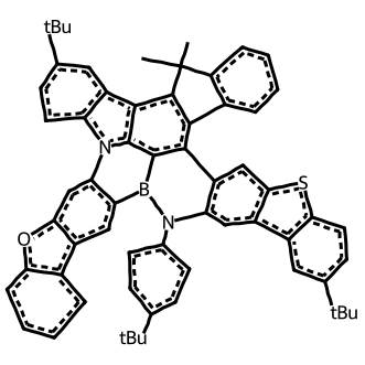 CC(C)(C)c1ccc(N2B3c4cc5c(cc4-n4c6ccc(C(C)(C)C)cc6c6c7c(c(c3c64)-c3cc4sc6ccc(C(C)(C)C)cc6c4cc32)-c2ccccc2C7(C)C)oc2ccccc25)cc1